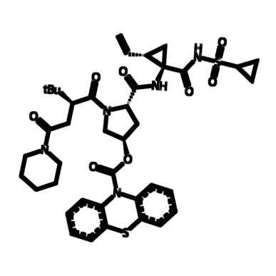 C=C[C@@H]1C[C@]1(NC(=O)[C@@H]1C[C@@H](OC(=O)N2c3ccccc3Sc3ccccc32)CN1C(=O)[C@@H](CC(=O)N1CCCCC1)C(C)(C)C)C(=O)NS(=O)(=O)C1CC1